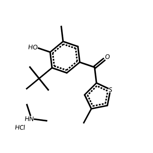 CNC.Cc1csc(C(=O)c2cc(C)c(O)c(C(C)(C)C)c2)c1.Cl